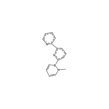 CN1C=CC=CB1c1cccc(-c2ccccn2)n1